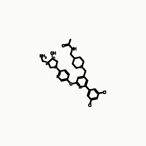 CC(=O)NCC1CCN(Cc2cc(Oc3ccc(N4C[C@@H](CN)[C@H](O)C4)nc3)nc(-c3cc(Cl)cc(Cl)c3)c2)CC1